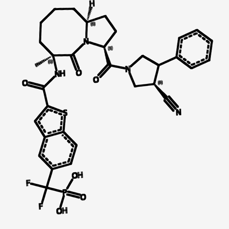 C[C@]1(NC(=O)c2cc3cc(C(F)(F)P(=O)(O)O)ccc3s2)CCCC[C@H]2CC[C@@H](C(=O)N3CC(c4ccccc4)[C@@H](C#N)C3)N2C1=O